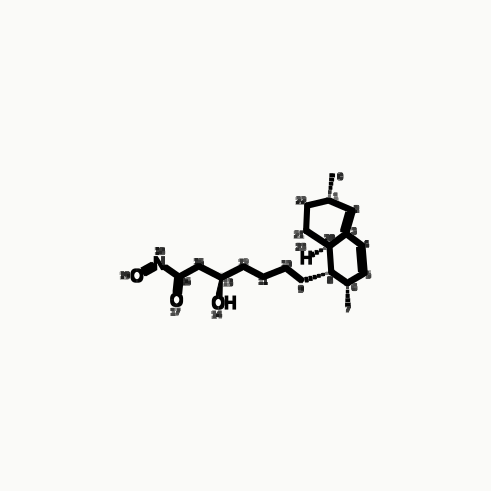 C[C@@H]1C=C2C=C[C@H](C)[C@H](CCCC[C@@H](O)CC(=O)N=O)[C@H]2CC1